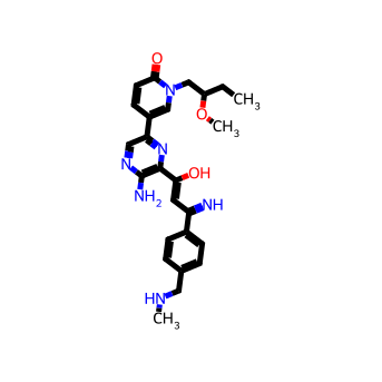 CCC(Cn1cc(-c2cnc(N)c(/C(O)=C/C(=N)c3ccc(CNC)cc3)n2)ccc1=O)OC